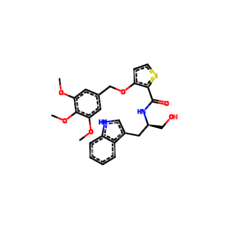 COc1cc(COc2ccsc2C(=O)N[C@@H](CO)Cc2c[nH]c3ccccc23)cc(OC)c1OC